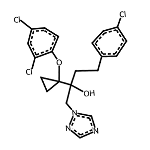 OC(CCc1ccc(Cl)cc1)(Cn1cncn1)C1(Oc2ccc(Cl)cc2Cl)CC1